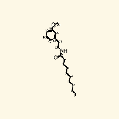 CCCCCCCCCC(=O)NCCc1cccc(OC)c1